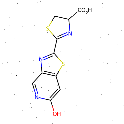 O=C(O)C1CSC(c2nc3cnc(O)cc3s2)=N1